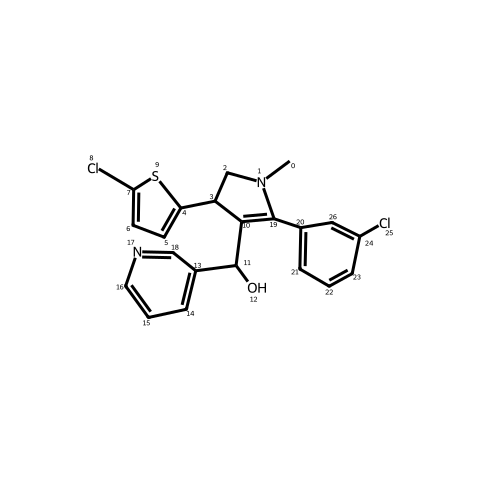 CN1CC(c2ccc(Cl)s2)C(C(O)c2cccnc2)=C1c1cccc(Cl)c1